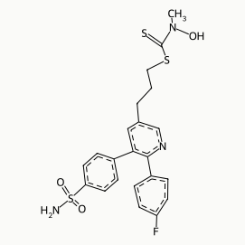 CN(O)C(=S)SCCCc1cnc(-c2ccc(F)cc2)c(-c2ccc(S(N)(=O)=O)cc2)c1